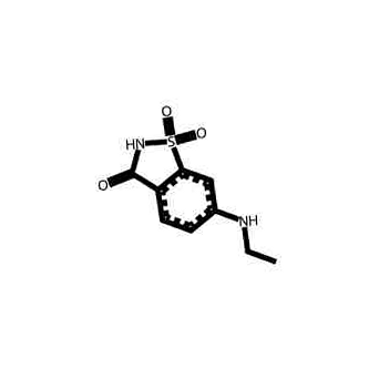 CCNc1ccc2c(c1)S(=O)(=O)NC2=O